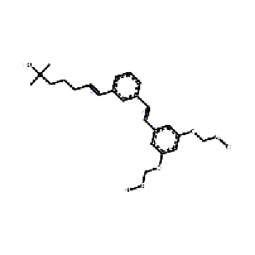 CCOCOc1cc(/C=C/c2cccc(/C=C/CCCC(C)(C)O)c2)cc(OCOCC)c1